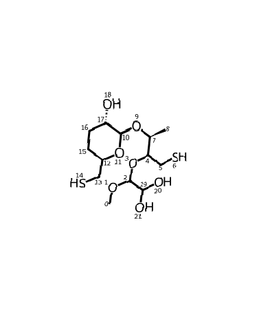 COC(OC(CS)[C@H](C)OC1OC(CS)CC[C@@H]1O)C(O)O